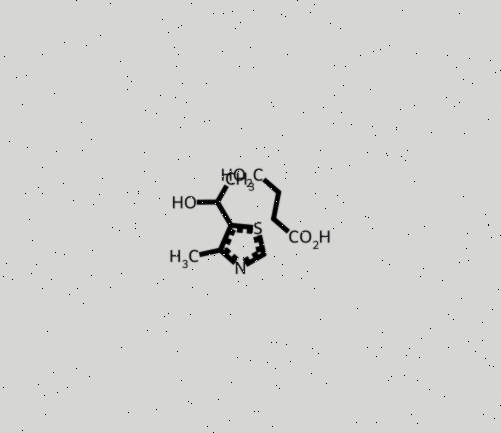 Cc1ncsc1C(C)O.O=C(O)CCC(=O)O